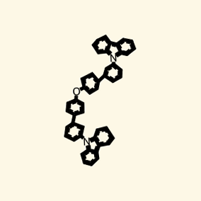 c1cc(-c2ccc(Oc3ccc(-c4cccc(-n5c6ccccc6c6ccccc65)c4)cc3)cc2)cc(-n2c3ccccc3c3ccccc32)c1